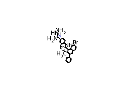 Cc1c(-c2ccccc2)cc2ccc(Br)cc2c1C(=O)Nc1ccc(/C(N)=N/NN)cc1F